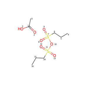 CC(=O)O.CCCS(=O)(=O)OS(=O)(=O)CCC